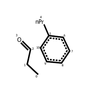 CCC=O.CCCc1ccccc1